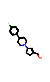 OCC1=CC(N2CC=C(c3ccc(F)cc3)CC2)CC1